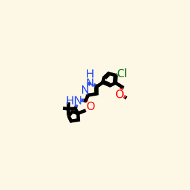 COCc1cc(-c2cc(C(=O)NC3C4(C)CCC(C4)C3(C)C)n[nH]2)ccc1Cl